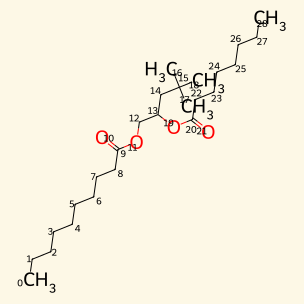 CCCCCCCCCC(=O)OCC(CC(C)(C)C)OC(=O)CCCCCCC